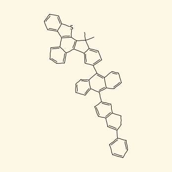 CC1(C)c2ccc(-c3c4ccccc4c(-c4ccc5c(c4)CCC(c4ccccc4)=C5)c4ccccc34)cc2-c2c1c1sc3ccccc3c1c1ccccc21